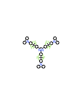 FC(F)(F)C(c1ccc(-c2cc(-c3ccc(C(c4ccc(-n5c6ccccc6c6ccccc65)cc4)(C(F)(F)F)C(F)(F)F)cc3)nc(-c3ccc(C(c4ccc(-n5c6ccccc6c6ccccc65)cc4)(C(F)(F)F)C(F)(F)F)cc3)n2)cc1)(c1ccc(-n2c3ccccc3c3ccccc32)cc1)C(F)(F)F